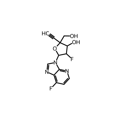 C#CC1(CO)OC(n2cnc3c(F)ccnc32)C(F)C1O